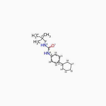 CC(C)(C)CNC(=O)Nc1ccc(C2CCCCC2)cc1